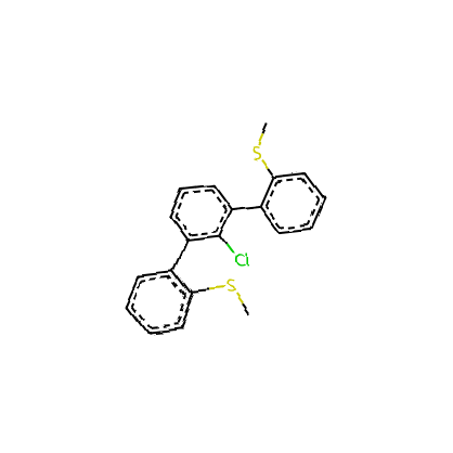 CSc1ccccc1-c1cccc(-c2ccccc2SC)c1Cl